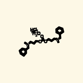 CN(CCCOC(=O)OCCCN(C)Cc1ccccc1)Cc1ccccc1.Cl.Cl.O